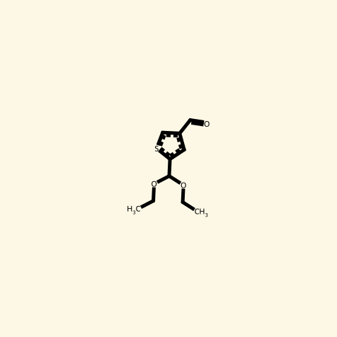 CCOC(OCC)c1cc(C=O)cs1